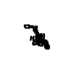 CC[C@@H](CSc1cccc(N2CCOCC2)c1)c1ccc(S(=O)(=O)NC(=O)c2ccc(N3CCN(CC4=C(c5ccc(Cl)cc5)CCCC4)CC3)cc2)c(N)c1S(=O)(=O)C(F)(F)Cl